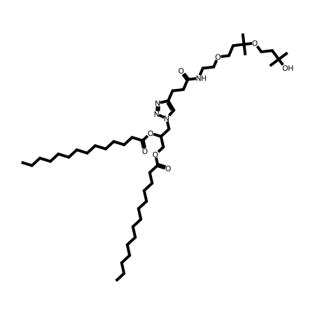 CCCCCCCCCCCCCC(=O)OCC(Cn1cc(CCC(=O)NCCOCCC(C)(C)OCCC(C)(C)O)nn1)OC(=O)CCCCCCCCCCCCC